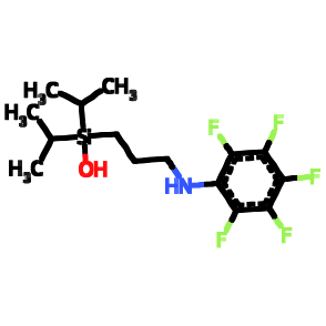 CC(C)[Si](O)(CCCNc1c(F)c(F)c(F)c(F)c1F)C(C)C